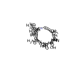 CC(=O)C[C@]1(C)CCCCCC/C=C/CCC[C@@](C)(C(=O)N[C@@H](CO)C(N)=O)NN[C@@H](CC(C)C)C(=O)C(=O)[C@H](CCC(N)=O)NC(=O)C(C)NC(=O)[C@H](Cc2c[nH]c3ccccc23)NC(=O)[C@H](Cc2ccc(O)cc2)NC(=O)[C@H](Cc2cnc[nH]2)NC1=O